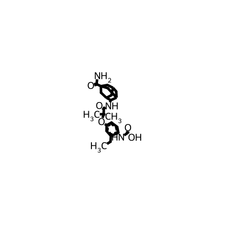 CCc1cc(OC(C)(C)C(=O)NC2C3CC4CC2CC(C(N)=O)(C4)C3)ccc1NC(=O)O